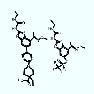 CCNC(=O)Nc1nc2cc(-c3cnc(N4CCC(CC)(C(=O)O)CC4)nc3)cc(/C(C)=N/OC)c2s1.CCNC(=O)Nc1nc2cc(OS(=O)(=O)C(F)(F)F)cc(/C(C)=N/OC)c2s1